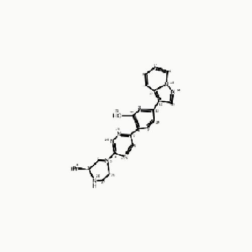 CC(C)[C@H]1CN(c2ncc(-c3ccc(-c4cnn5ccccc45)cc3O)nn2)CCN1